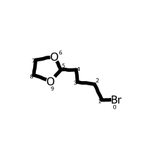 BrCCCCC1OCCO1